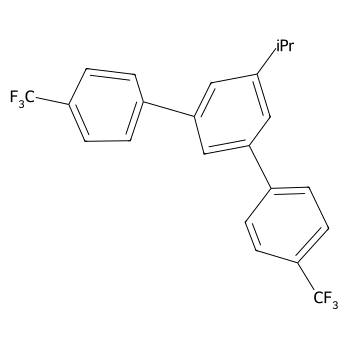 CC(C)c1cc(-c2ccc(C(F)(F)F)cc2)cc(-c2ccc(C(F)(F)F)cc2)c1